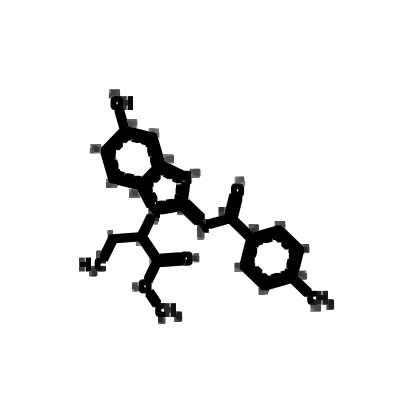 CCC(C(=O)OC)n1c(=NC(=O)c2ccc(C)cc2)sc2cc(O)ccc21